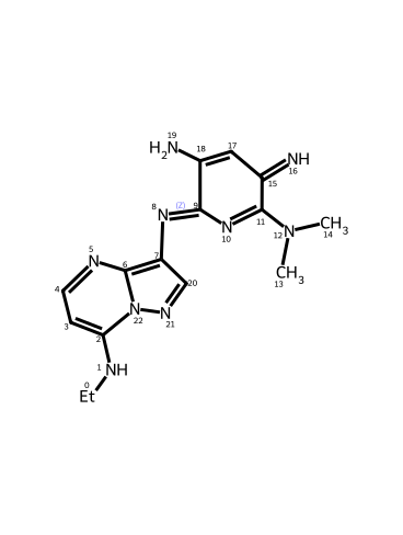 CCNc1ccnc2c(/N=C3\N=C(N(C)C)C(=N)C=C3N)cnn12